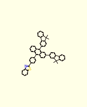 CC1(C)c2ccccc2-c2cc(-c3c4ccccc4c(-c4ccc(-c5nc6ccccc6s5)cc4)c4ccc(-c5ccc6c(c5)C(C)(C)c5ccccc5-6)cc34)ccc21